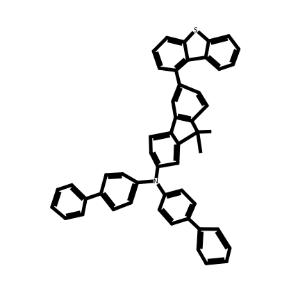 CC1(C)c2ccc(-c3cccc4sc5ccccc5c34)cc2-c2ccc(N(c3ccc(-c4ccccc4)cc3)c3ccc(-c4ccccc4)cc3)cc21